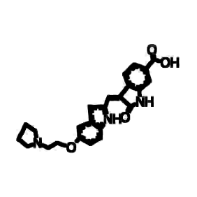 O=C1Nc2cc(C(=O)O)ccc2C1=Cc1cc2cc(OCCN3CCCC3)ccc2[nH]1